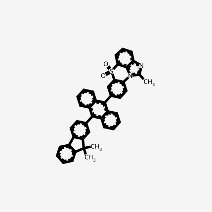 Cc1nc2cccc3c2n1-c1ccc(-c2c4ccccc4c(-c4ccc5c(c4)C(C)(C)c4ccccc4-5)c4ccccc24)cc1S3(=O)=O